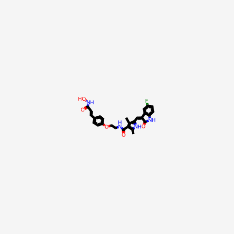 Cc1[nH]c(/C=C2\C(=O)Nc3ccc(F)cc32)c(C)c1C(=O)NCCOc1ccc(C=CC(=O)NO)cc1